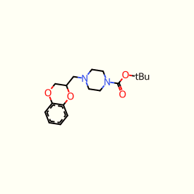 CC(C)(C)OC(=O)N1CCN(CC2COc3ccccc3O2)CC1